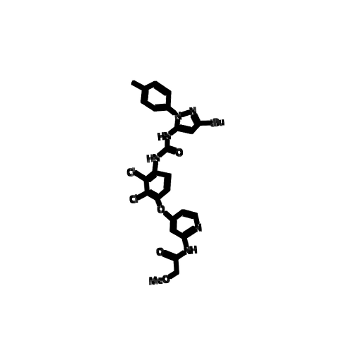 COCC(=O)Nc1cc(Oc2ccc(NC(=O)Nc3cc(C(C)(C)C)nn3-c3ccc(C)cc3)c(Cl)c2Cl)ccn1